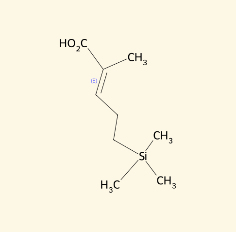 C/C(=C\CC[Si](C)(C)C)C(=O)O